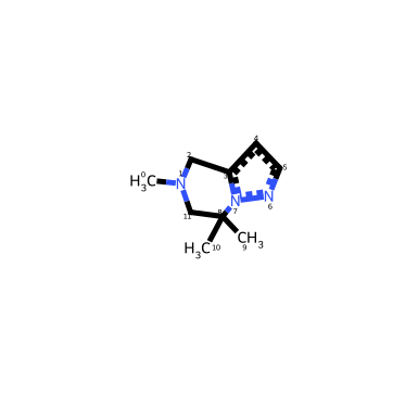 CN1Cc2ccnn2C(C)(C)C1